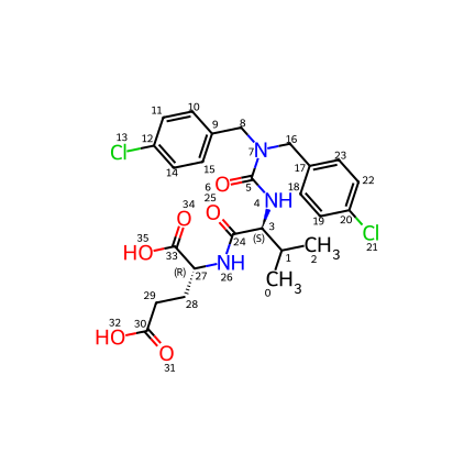 CC(C)[C@H](NC(=O)N(Cc1ccc(Cl)cc1)Cc1ccc(Cl)cc1)C(=O)N[C@H](CCC(=O)O)C(=O)O